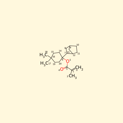 C=C(C)C(=O)OC1(C2CC3CCC2C3)CCC(C)(C)CC1